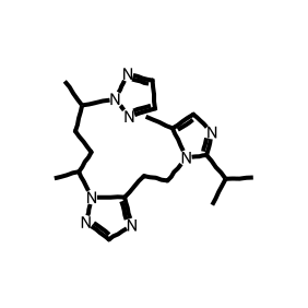 Cc1cnc(C(C)C)n1CCc1ncnn1C(C)CCC(C)n1nccn1